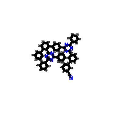 N#Cc1cccc(-c2cccc(-c3nc(-c4ccccc4)nc(-c4ccc(-c5cccc(-c6ccccc6)c5-c5nc(-c6ccccc6)nc(-c6ccccc6)n5)cc4)n3)c2)c1